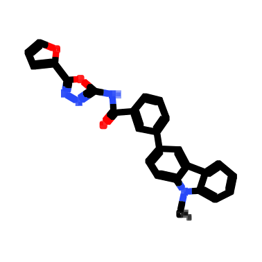 Cn1c2ccccc2c2cc(-c3cccc(C(=O)Nc4nnc(-c5ccco5)o4)c3)ccc21